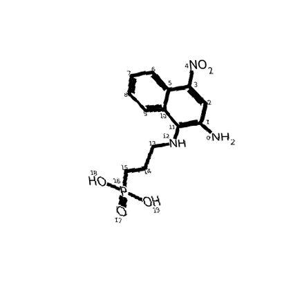 Nc1cc([N+](=O)[O-])c2ccccc2c1NCCCP(=O)(O)O